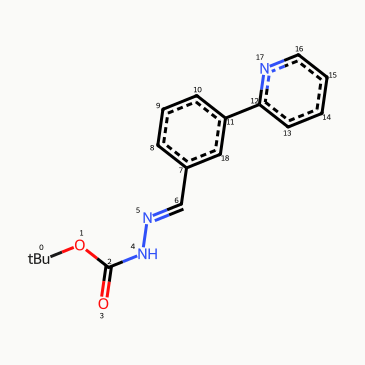 CC(C)(C)OC(=O)NN=Cc1cccc(-c2ccccn2)c1